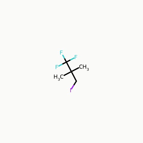 CC(C)(CI)C(F)(F)F